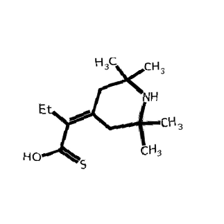 CCC(C(O)=S)=C1CC(C)(C)NC(C)(C)C1